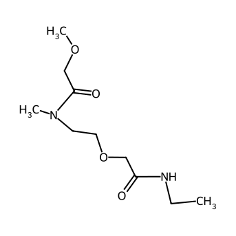 CCNC(=O)COCCN(C)C(=O)COC